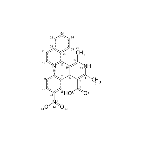 CC1=C(C(=O)O)C(c2cccc([N+](=O)[O-])c2)C(c2nccc3ccccc23)=C(C)N1